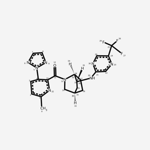 Cc1ccc(-n2nccn2)c(C(=O)N2C[C@@H]3CC[C@H]2[C@H](Nc2cnc(C(F)(F)F)cn2)C3)n1